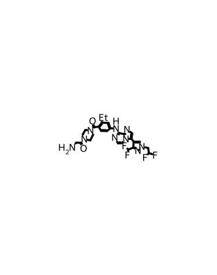 CCc1cc(Nc2nccn3c(-c4cn(CC(F)F)nc4C(F)F)cnc23)ccc1C(=O)N1CCN(C(=O)CN)CC1